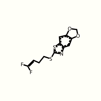 FC(F)=CCCSc1nc2cc3c(cc2s1)OCO3